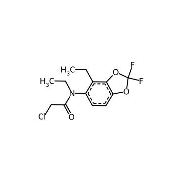 CCc1c(N(CC)C(=O)CCl)ccc2c1OC(F)(F)O2